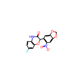 O=C1Nc2c[c]c(F)cc2OC1c1cc2c(cc1[N+](=O)[O-])OCO2